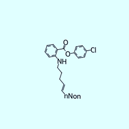 CCCCCCCCCC=CCCCNc1ccccc1C(=O)Oc1ccc(Cl)cc1